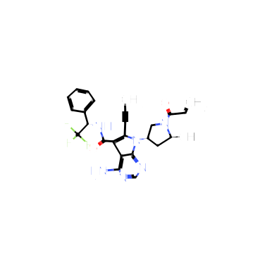 C=CC(=O)N1C[C@H](n2c(C#CC)c(C(=O)N[C@@H](c3ccccc3)C(F)(F)F)c3c(N)ncnc32)C[C@@H]1C